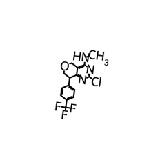 CNc1nc(Cl)nc2c1COCC2c1ccc(C(F)(F)F)cc1